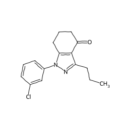 CCCc1nn(-c2cccc(Cl)c2)c2c1C(=O)CCC2